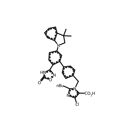 CCCCc1nc(Cl)c(C(=O)O)n1Cc1ccc(-c2cc(N3CC(C)(C)c4ccccc43)ccc2-c2noc(=O)[nH]2)cc1